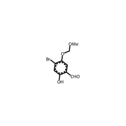 COCOc1cc(C=O)c(O)cc1Br